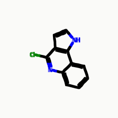 Clc1nc2ccccc2c2[nH]ccc12